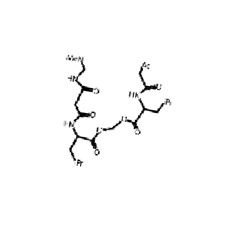 CNCNC(=O)CC(=O)NC(CC(C)C)C(=O)OCOC(=O)C(CC(C)C)NC(=O)CC(C)=O